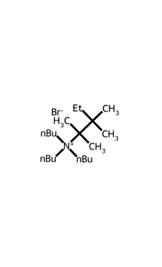 CCCC[N+](CCCC)(CCCC)C(C)(C)C(C)(C)CC.[Br-]